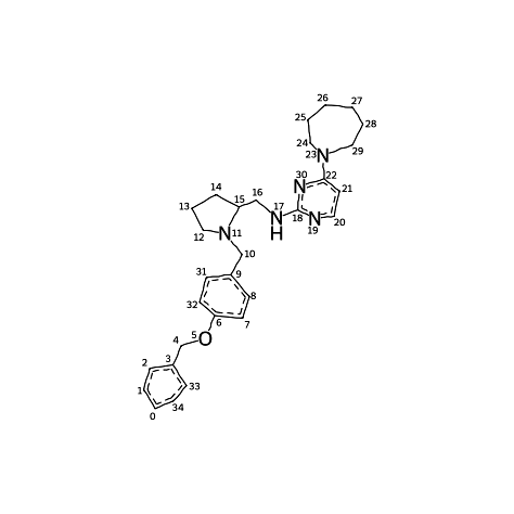 c1ccc(COc2ccc(CN3CCCC3CNc3nccc(N4CCCCCC4)n3)cc2)cc1